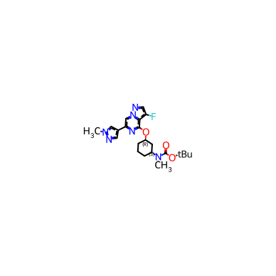 CN(C(=O)OC(C)(C)C)[C@H]1CCC[C@@H](Oc2nc(-c3cnn(C)c3)cn3ncc(F)c23)C1